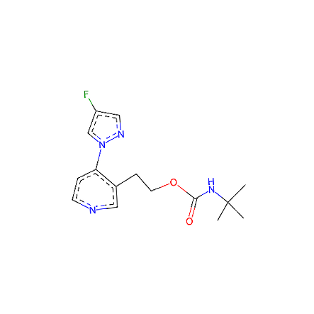 CC(C)(C)NC(=O)OCCc1cnccc1-n1cc(F)cn1